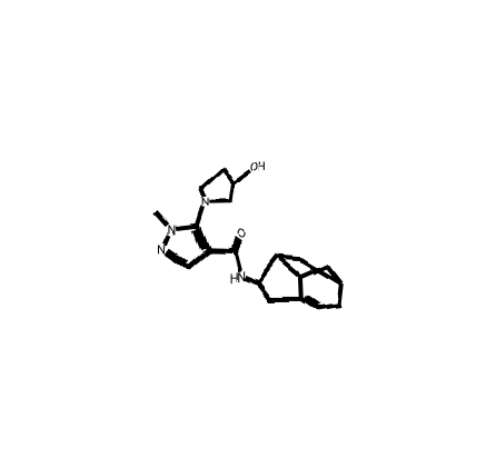 Cn1ncc(C(=O)NC2CC3=CCC4CC3C2C4)c1N1CCC(O)C1